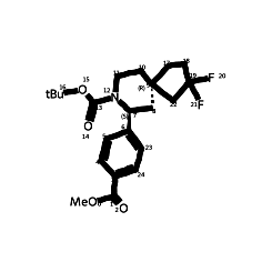 COC(=O)c1ccc([C@@H]2C[C@]3(CCN2C(=O)OC(C)(C)C)CCC(F)(F)C3)cc1